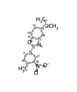 Cc1ccc(-c2nc3cc(C(C)C)ccc3o2)cc1[N+](=O)[O-]